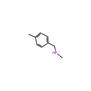 CPCc1ccc(C)cc1